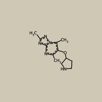 Cc1nc2nc(C)c(OC3CCNC3)c(C)n2n1